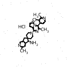 Cc1cc2c(cn1)CC1(CCN(c3nc(C)c(-c4ccnc(C)c4Cl)n4nccc34)CC1)[C@@H]2N.Cl